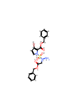 NN(CC(=O)OCc1ccccc1)S(=O)(=O)n1ccc(Br)c1C(=O)OCc1ccccc1